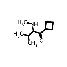 CNC(C(=O)C1CCC1)C(C)C